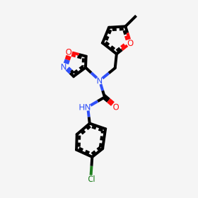 Cc1ccc(CN(C(=O)Nc2ccc(Cl)cc2)c2cnoc2)o1